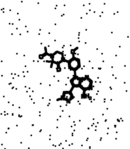 COc1ccc(-c2cc(-c3cnn(C)c3)c3c(N)ncnn23)cc1N1CCN(C(C)=O)C(C)(C)C1=O